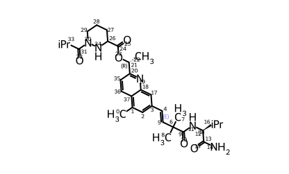 Cc1cc(/C=C/C(C)(C)C(=O)N[C@H](C(N)=O)C(C)C)cc2nc([C@@H](C)OC(=O)C3CCCN(C(=O)C(C)C)N3)ccc12